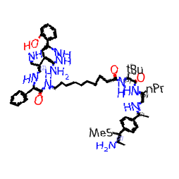 CCC[C@@H](CN[C@@H](C)c1ccc(/C(SC)=C(\C)N)cc1)NC(=O)[C@@H](NC(=O)CCCCCCCCCNC(=O)C(N/C=C(\C=N)C1=C(N)NNC(c2ccccc2O)=C1)c1ccccc1)C(C)(C)C